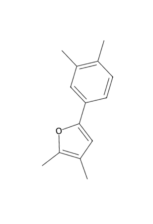 Cc1ccc(-c2cc(C)c(C)o2)cc1C